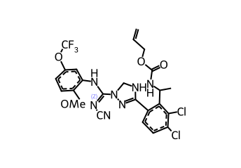 C=CCOC(=O)NC(C)c1c(C2=NN(/C(=N\C#N)Nc3cc(OC(F)(F)F)ccc3OC)CN2)ccc(Cl)c1Cl